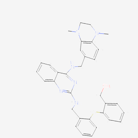 CN1CCN(C)c2cc(CNc3nc(NCc4ccccc4Sc4ccccc4CO)nc4ccccc34)ccc21